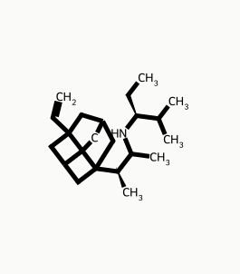 C=CC12CC3CC4([C@H](C)C(C)N[C@@H](CC)C(C)C)CC(C1)C24C3